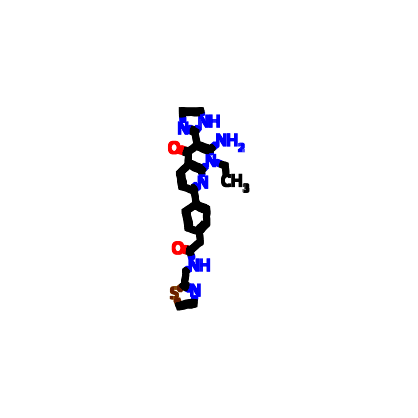 CCn1c(N)c(-c2ncc[nH]2)c(=O)c2ccc(-c3ccc(CC(=O)NCc4nccs4)cc3)nc21